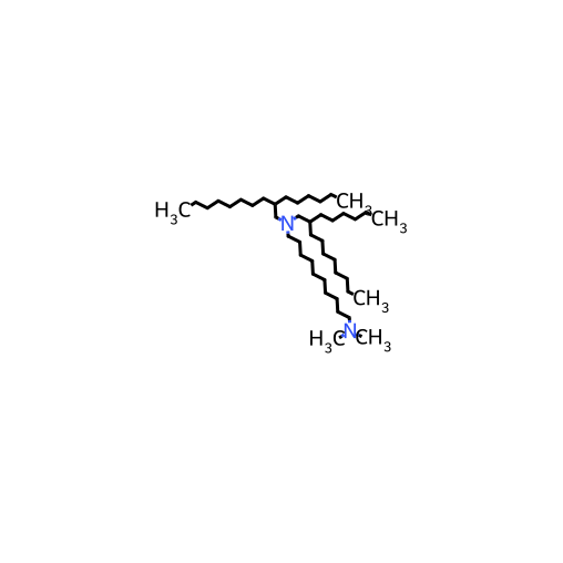 CCCCCCCCC(CCCCCC)CN(CCCCCCCCCCN(C)C)CC(CCCCCC)CCCCCCCC